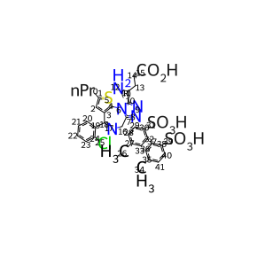 CCCc1cc2c(s1)-n1c(nnc1[C@H](N)CCC(=O)O)CN=C2c1ccccc1Cl.Cc1ccc(S(=O)(=O)O)cc1.Cc1ccc(S(=O)(=O)O)cc1